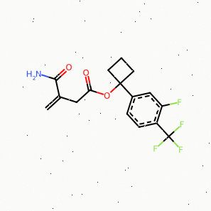 C=C(CC(=O)OC1(c2ccc(C(F)(F)F)c(F)c2)CCC1)C(N)=O